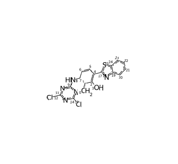 C=C/C(O)=C(\C=C/CNc1nc(Cl)nc(Cl)n1)c1nc2ccccc2s1